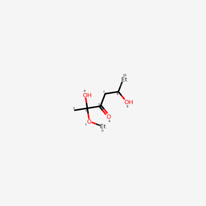 CCOC(C)(O)C(=O)CC(O)CC